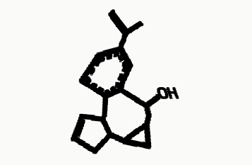 C=C(C)c1ccc2c(c1)C(O)C1CC1C1CC=CC21